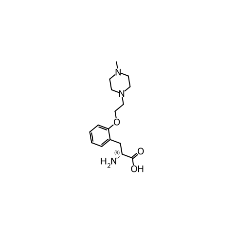 CN1CCN(CCOc2ccccc2C[C@@H](N)C(=O)O)CC1